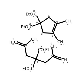 C=C(C)CC(CC(=C)C)(C(=O)OCC)C(=O)OCC.CCOC(=O)C1(C(=O)OCC)CC(C)=C(C)C1